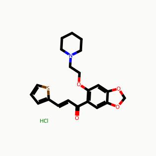 Cl.O=C(C=Cc1cccs1)c1cc2c(cc1OCCN1CCCCC1)OCO2